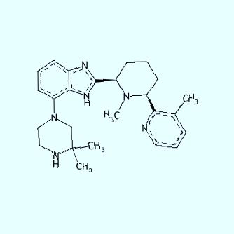 Cc1cccnc1[C@@H]1CCC[C@H](c2nc3cccc(N4CCNC(C)(C)C4)c3[nH]2)N1C